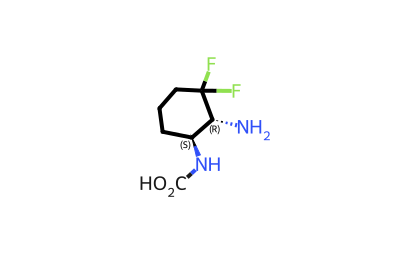 N[C@@H]1[C@@H](NC(=O)O)CCCC1(F)F